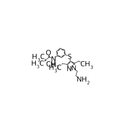 CCc1nn(CCN)c(CC)c1Sc1cccc(NC(=O)C(C)(C)C)c1